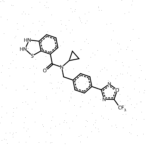 O=C(c1cccc2c1SNN2)N(Cc1ccc(-c2noc(C(F)(F)F)n2)cc1)C1CC1